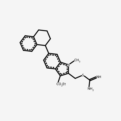 CCOC(=O)c1c(CSC(=N)N)n(C)c2cc(C3CCCc4ccccc43)ccc12